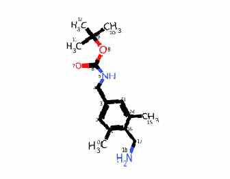 Cc1cc(CNC(=O)OC(C)(C)C)cc(C)c1CN